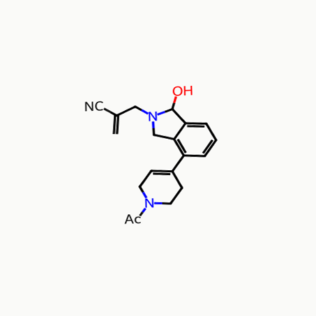 C=C(C#N)CN1Cc2c(C3=CCN(C(C)=O)CC3)cccc2C1O